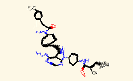 CC(C)(C)C=C(C#N)C(=O)N[C@H]1CC[C@H](n2nc(-c3ccc(NC(=O)c4ccc(C(F)(F)F)cc4)cc3)c3c(N)ncnc32)CC1